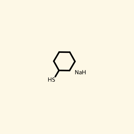 SC1CCCCC1.[NaH]